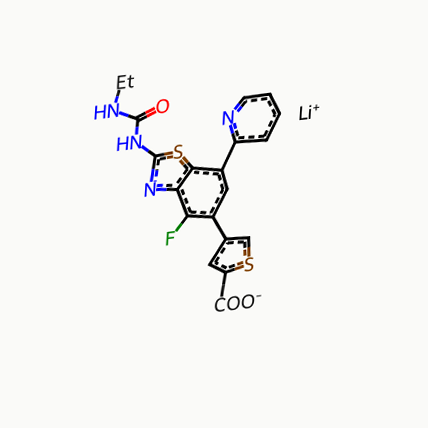 CCNC(=O)Nc1nc2c(F)c(-c3csc(C(=O)[O-])c3)cc(-c3ccccn3)c2s1.[Li+]